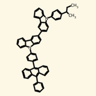 CCC(C)c1ccc(-n2c3ccccc3c3cc(-c4ccc5c(c4)c4ccccc4n5-c4ccc(-c5c6ccccc6c(-c6ccccc6)c6ccccc56)cc4)ccc32)cc1